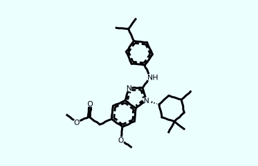 COC(=O)Cc1cc2nc(Nc3ccc(C(C)C)cc3)n([C@@H]3CC(C)CC(C)(C)C3)c2cc1OC